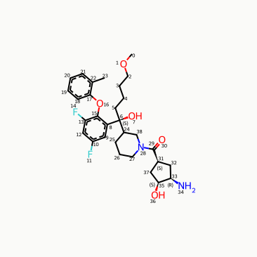 COCCCC[C@@](O)(c1cc(F)cc(F)c1Oc1ccccc1C)C1CCCN(C(=O)[C@H]2C[C@@H](N)[C@@H](O)C2)C1